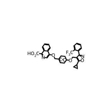 O=C(O)c1ncc(OCC23CCC(OCc4c(-c5ccccc5C(F)(F)F)noc4C4CC4)(CC2)CC3)c2ccccc12